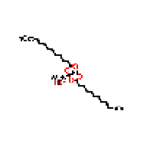 Br.CCCCCCCCC=CCCCCCCCC(=O)OC(CC)(NC)OC(=O)CCCCCCCC=CCCCCCCCC